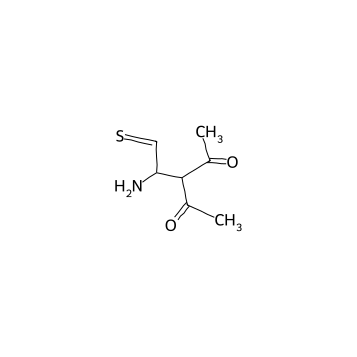 CC(=O)C(C(C)=O)C(N)C=S